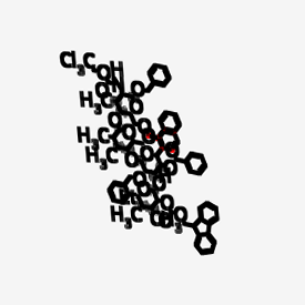 CCC1O[C@H](O[C@@H]2C(OCc3ccccc3)[C@H](O[C@@H]3C(COCc4ccccc4)O[C@@H](O[C@@H]4C(COCc5ccccc5)O[C@@H](OCc5ccccc5)C(NC(=O)OCC(Cl)(Cl)Cl)[C@H]4C)C(C)[C@H]3C)OC3COC(c4ccccc4)O[C@H]32)C(OC(=O)OCC2c3ccccc3-c3ccccc32)[C@@H](C)[C@@H]1C